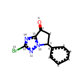 O=C1CC(c2ccccc2)n2nc(Br)nc21